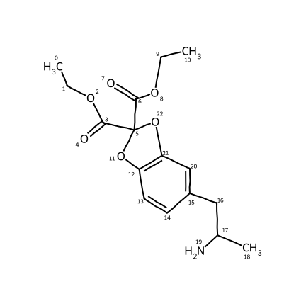 CCOC(=O)C1(C(=O)OCC)Oc2ccc(CC(C)N)cc2O1